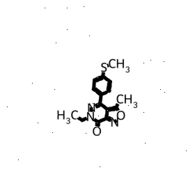 CCn1nc(-c2ccc(SC)cc2)c2c(C)onc2c1=O